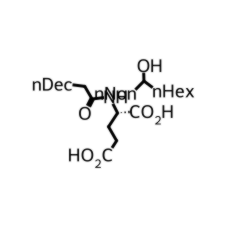 CCCCCCCCCC(O)CCCCCC.CCCCCCCCCCCC(=O)N[C@@H](CCC(=O)O)C(=O)O